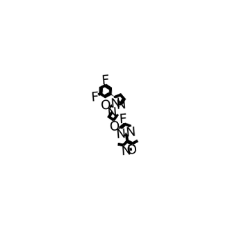 Cc1noc(C)c1-c1ncc(F)c(OC2CN(C(=O)N3N=CC[C@H]3c3cc(F)cc(F)c3)C2)n1